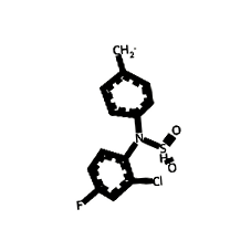 [CH2]c1ccc(N(c2ccc(F)cc2Cl)[SH](=O)=O)cc1